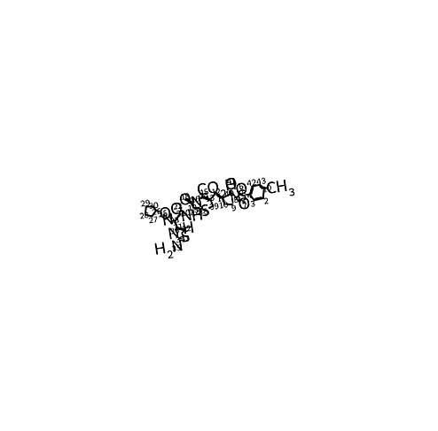 Cc1ccc(S(=O)(=O)N2CCC(=CC3=C(C(=O)O)N4C(=O)[C@@H](NC(=O)/C(=N\OC5CCCC5)c5csc(N)n5)[C@H]4SC3)C2=O)cc1